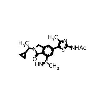 CC(=O)Nc1nc(C)c(-c2cc3c(c([S@@](C)=N)c2)C(=O)N([C@@H](C)C2CC2)C3)s1